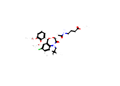 COC(=O)CCCNC(=O)C[C@H]1O[C@H](c2cccc(OC)c2OC)c2cc(Cl)ccc2N(CC(C)(C)C)C1=O